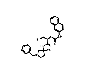 CC(C)CC(OC(=O)Nc1ccc2ccccc2c1)C(=O)NC1(C#N)CCN(Cc2ccccc2)C1